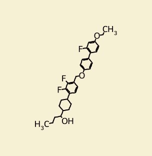 CCCC(O)C1CCC(c2ccc(COc3ccc(-c4ccc(OCC)cc4F)cc3)c(F)c2F)CC1